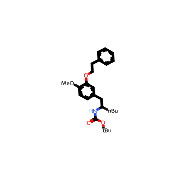 CCCCC(Cc1ccc(OC)c(OCCc2ccccc2)c1)NC(=O)OC(C)(C)C